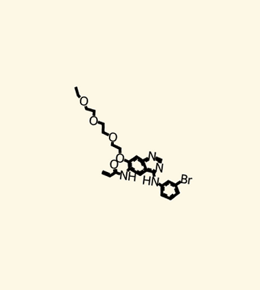 C=CC(=O)Nc1cc2c(Nc3cccc(Br)c3)ncnc2cc1OCCOCCOCCOCC